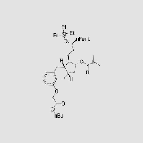 CCCCC[C@@H](CC[C@@H]1[C@H]2Cc3cccc(OCC(=O)OCCCC)c3C[C@H]2C[C@H]1OC(=O)N(C)C)O[Si](CC)(CC)CC